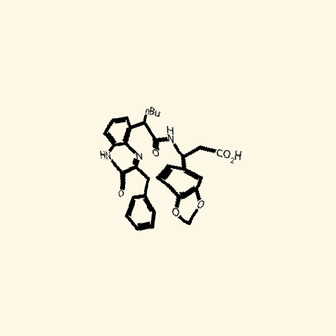 CCCCC(C(=O)NC(CC(=O)O)c1ccc2c(c1)OCO2)c1cccc2[nH]c(=O)c(Cc3ccccc3)nc12